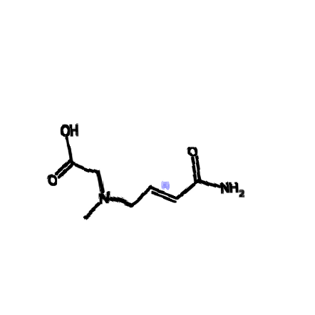 CN(C/C=C/C(N)=O)CC(=O)O